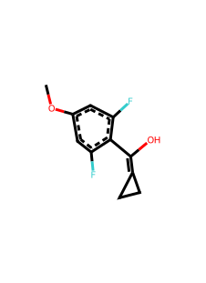 COc1cc(F)c(C(O)=C2CC2)c(F)c1